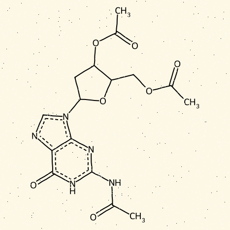 CC(=O)Nc1nc2c(ncn2C2CC(OC(C)=O)C(COC(C)=O)O2)c(=O)[nH]1